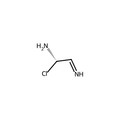 N=C[C@@H](N)Cl